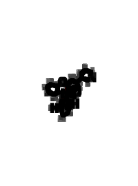 c1cncc(-c2ccc3c(c2)Oc2ccccc2N3[C@@H]2C[C@H]3CC[C@@H](C2)N3Cc2ccoc2)c1